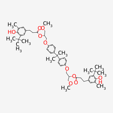 COCC(COc1ccc(C(C)(C)c2ccc(OCC(COC)OC(=O)CCc3cc(C)c(O)c(C(C)(C)C)c3)cc2)cc1)OC(=O)CCc1cc(C)c(O)c(C(C)(C)C)c1